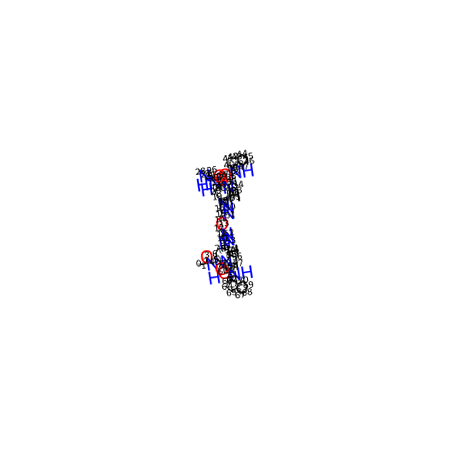 CCC(=O)N[C@H]1CC[C@@H](n2cc(COCc3cn([C@@H]4CC[C@H](NC(=O)[C@H](C)NC)C(=O)N5[C@H](CC[C@H]5C(=O)N[C@H]5CCCc6ccccc65)C4)nn3)nn2)C[C@H]2CC[C@@H](C(=O)N[C@@H]3CCCc4ccccc43)N2C1=O